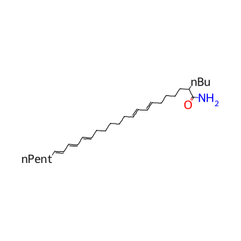 CCCCC/C=C/C=C/C=C/CCCCC/C=C/C=C/CCCCC(CCCC)C(N)=O